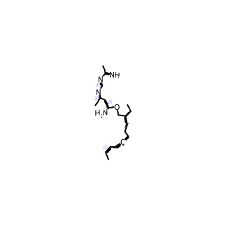 C/C=C\C=C=CCC=C(CC)CO/C(N)=C/C(C)=N\C=N\C(C)=N